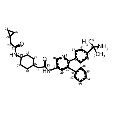 CC(C)(N)c1ccc(-c2ncc(NC(=O)CC3CCC(NC(=O)CC4CC4)CC3)cc2-c2ccccc2)cc1